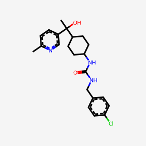 Cc1ccc(C(C)(O)C2CCC(NC(=O)NCc3ccc(Cl)cc3)CC2)cn1